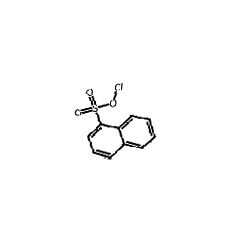 O=S(=O)(OCl)c1cccc2ccccc12